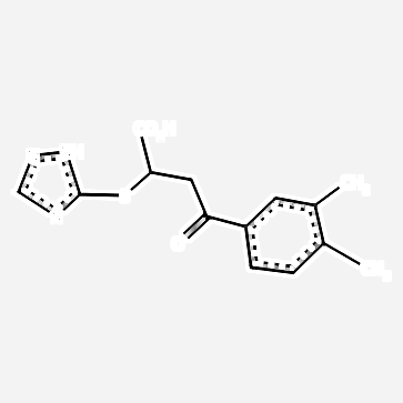 Cc1ccc(C(=O)CC(Sc2n[c]n[nH]2)C(=O)O)cc1C